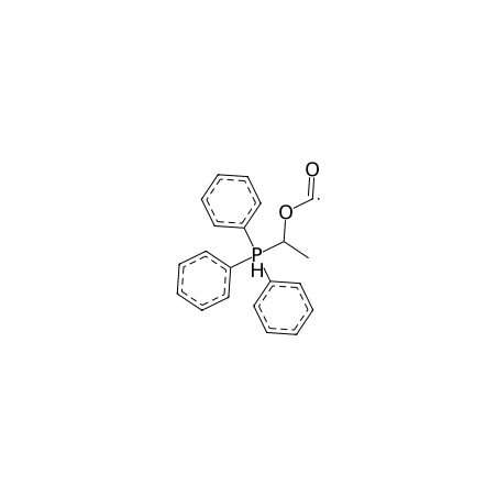 CC(O[C]=O)[PH](c1ccccc1)(c1ccccc1)c1ccccc1